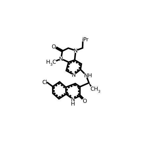 CC(C)CN1CC(=O)N(C)c2cnc(N[C@@H](C)c3cc4cc(Cl)ccc4[nH]c3=O)cc21